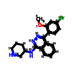 COc1cc(Br)ccc1-c1nnc(NC2CCCNC2)c2ccccc12